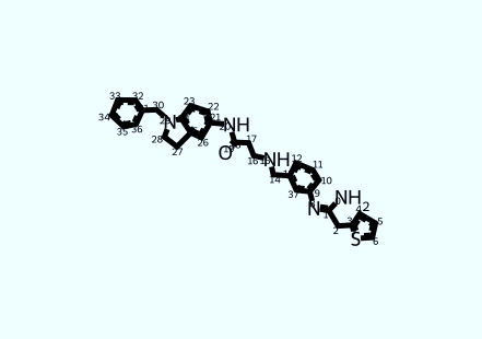 N/C(Cc1cccs1)=N\c1cccc(CNCCC(=O)Nc2ccc3c(c2)CCN3Cc2ccccc2)c1